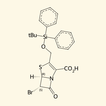 CC(C)(C)[Si](OCC1=C(C(=O)O)N2C(=O)[C@H](Br)[C@H]2S1)(c1ccccc1)c1ccccc1